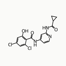 O=C(Nc1ccnc(NC(=O)C2CC2)c1)c1c(O)cc(Cl)cc1Cl